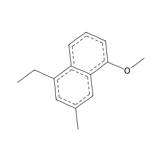 CCc1cc(C)cc2c(OC)cccc12